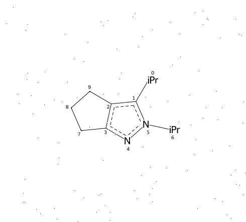 CC(C)c1c2c(nn1C(C)C)CCC2